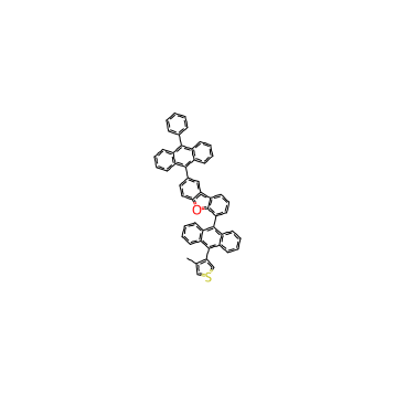 Cc1cscc1-c1c2ccccc2c(-c2cccc3c2oc2ccc(-c4c5ccccc5c(-c5ccccc5)c5ccccc45)cc23)c2ccccc12